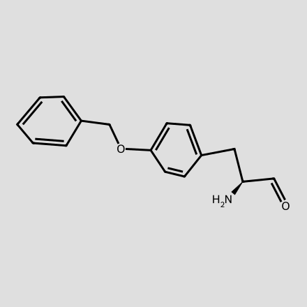 N[C@H](C=O)Cc1ccc(OCc2ccccc2)cc1